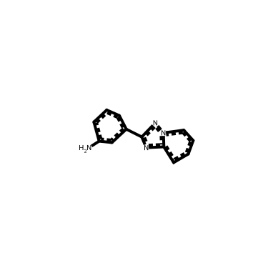 Nc1cccc(-c2nc3ccccn3n2)c1